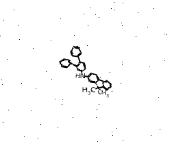 CC1(C)c2ccccc2-c2ccc(Nc3ccc(-c4ccccc4)c(-c4ccccc4)c3)cc21